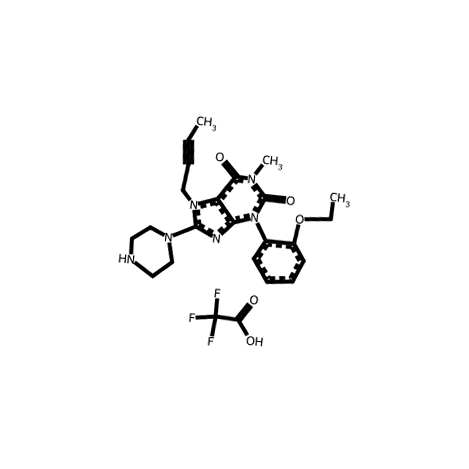 CC#CCn1c(N2CCNCC2)nc2c1c(=O)n(C)c(=O)n2-c1ccccc1OCC.O=C(O)C(F)(F)F